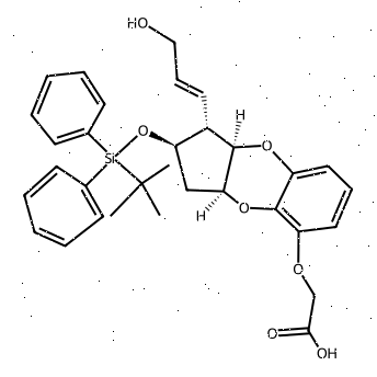 CC(C)(C)[Si](O[C@@H]1C[C@@H]2Oc3c(OCC(=O)O)cccc3O[C@@H]2[C@H]1C=CCO)(c1ccccc1)c1ccccc1